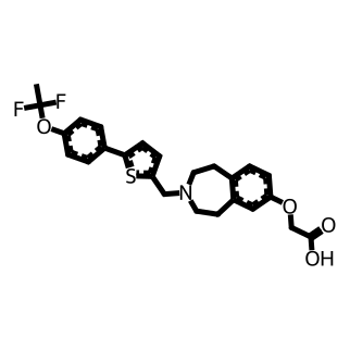 CC(F)(F)Oc1ccc(-c2ccc(CN3CCc4ccc(OCC(=O)O)cc4CC3)s2)cc1